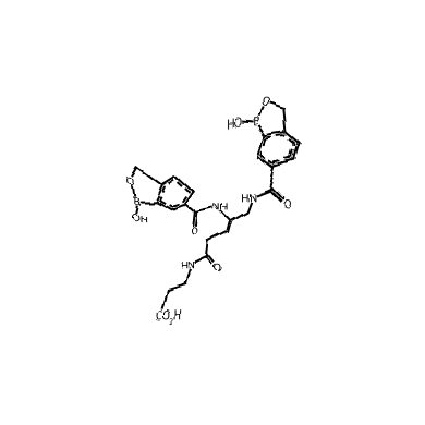 O=C(O)CCNC(=O)CCC(CNC(=O)c1ccc2c(c1)B(O)OC2)NC(=O)c1ccc2c(c1)B(O)OC2